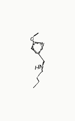 CCCCNCc1ccc(OC)nc1